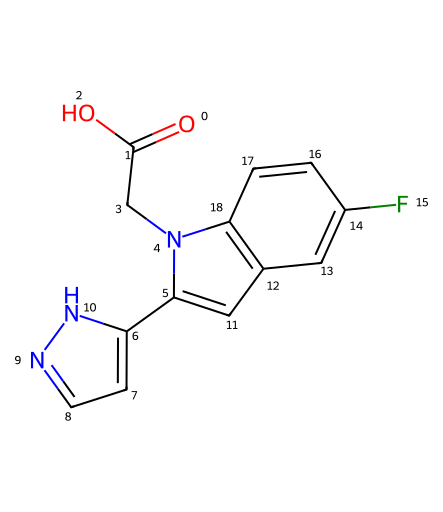 O=C(O)Cn1c(-c2ccn[nH]2)cc2cc(F)ccc21